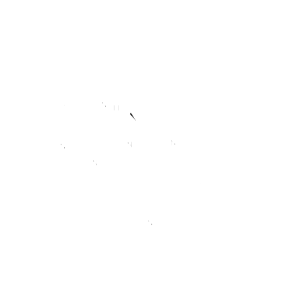 C[C@H]1CN(C(c2ccc(F)cc2)c2ccc(F)cc2)[C@H](CC#N)CN1c1nc(Cl)nc2scnc12